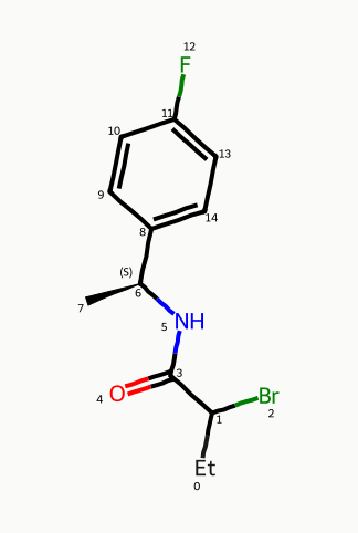 CCC(Br)C(=O)N[C@@H](C)c1ccc(F)cc1